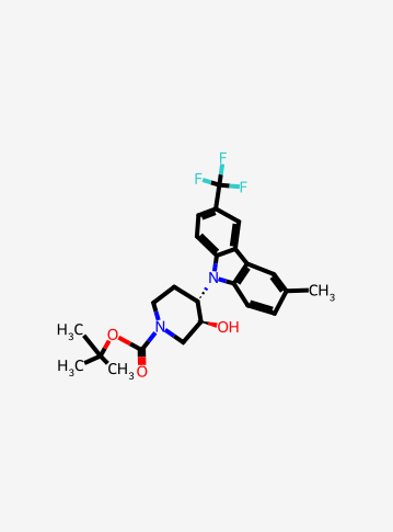 Cc1ccc2c(c1)c1cc(C(F)(F)F)ccc1n2[C@H]1CCN(C(=O)OC(C)(C)C)C[C@@H]1O